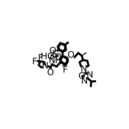 Cc1ccc(S(=O)(=O)O)c(-c2cc(CC(N)C(=O)N3CCC(F)(F)C3)c(F)cc2OCC[C@@H](C)C2CCN(c3nc(C(C)C)no3)CC2)c1